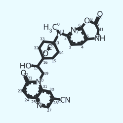 CN(c1ccc2c(n1)OC(=O)CN2)C12CCC(C(O)Cn3c(=O)ccc4ncc(C#N)cc43)(CC1)OC2